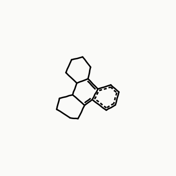 c1ccc2c(c1)=C1CCCCC1C1CCCCC=21